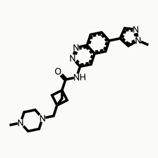 CN1CCN(CC23CC(C(=O)Nc4cc5cc(-c6cnn(C)c6)ccc5nn4)(C2)C3)CC1